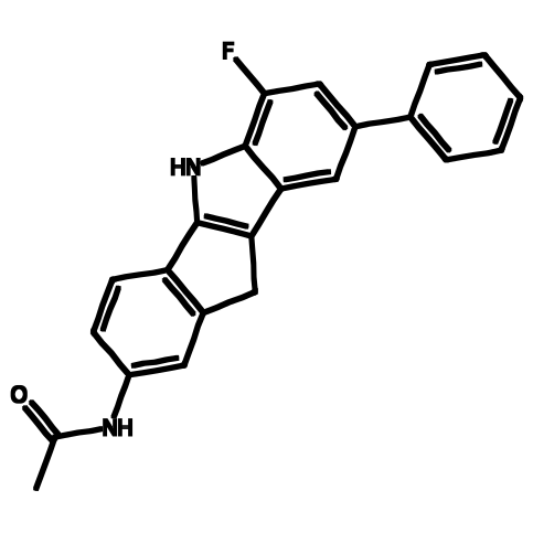 CC(=O)Nc1ccc2c(c1)Cc1c-2[nH]c2c(F)cc(-c3ccccc3)cc12